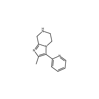 Cc1nc2n(c1-c1ccccn1)CCNC2